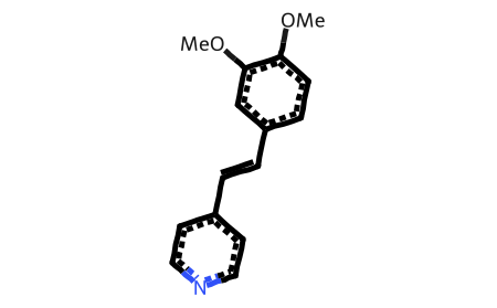 COc1ccc(C=Cc2ccncc2)cc1OC